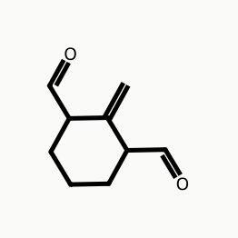 C=C1C(C=O)CCCC1C=O